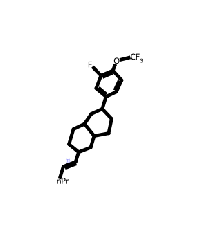 CCC/C=C/C1CCC2CC(c3ccc(OC(F)(F)F)c(F)c3)CCC2C1